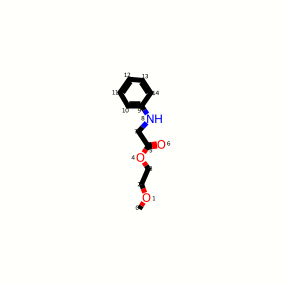 COCCOC(=O)CNc1ccccc1